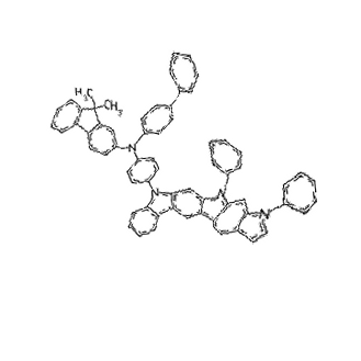 CC1(C)c2ccccc2-c2ccc(N(c3ccc(-c4ccccc4)cc3)c3ccc(-n4c5ccccc5c5cc6c7cc8ccn(-c9ccccc9)c8cc7n(-c7ccccc7)c6cc54)cc3)cc21